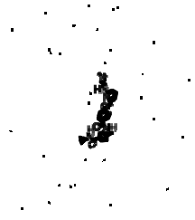 Cc1ccc(C(=O)NC2CC2)cc1NC(=O)c1ccc(OCc2cccc(NCCN(C)C)n2)cc1